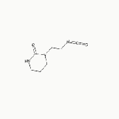 O=C=NCCN1CCCNC1=O